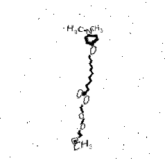 COCCOCCOCCOC(=O)CCCCCCCCCCOc1ccc(N(C)C)cc1